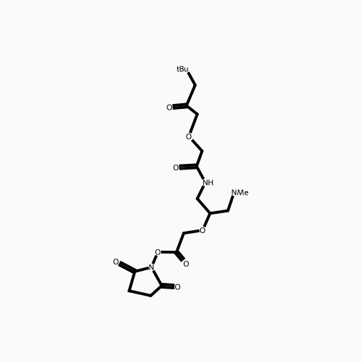 CNCC(CNC(=O)COCC(=O)CC(C)(C)C)OCC(=O)ON1C(=O)CCC1=O